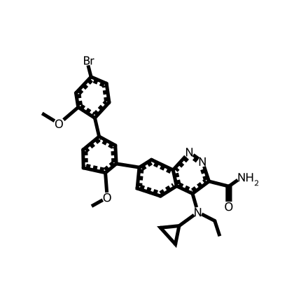 CCN(c1c(C(N)=O)nnc2cc(-c3cc(-c4ccc(Br)cc4OC)ccc3OC)ccc12)C1CC1